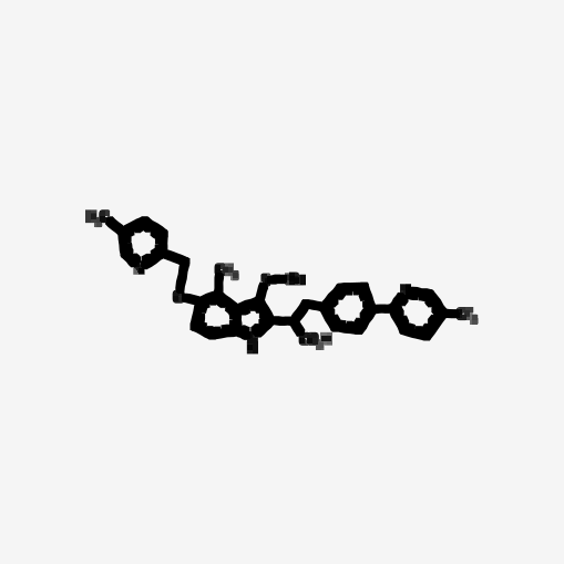 Cc1ccc(COc2ccc3[nH]c(C(Cc4ccc(-c5ccc(C(F)(F)F)cn5)cc4)C(=O)O)c(SC(C)(C)C)c3c2C)nc1